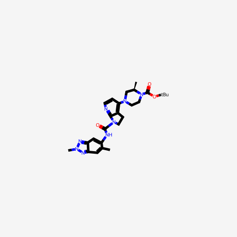 Cc1cc2nn(C)nc2cc1NC(=O)N1CCc2c(N3CCN(C(=O)OC(C)(C)C)[C@H](C)C3)ccnc21